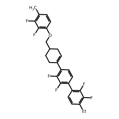 CCc1ccc(-c2ccc(C3=CCC(COc4ccc(C)c(F)c4F)CC3)c(F)c2F)c(F)c1F